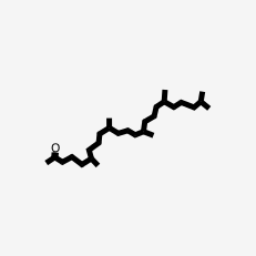 CC(=O)CCCC(C)CCCC(C)CCCC(C)CCCC(C)CCCC(C)C